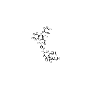 CC1CC(CCO[C@H]2CC[C@H](N(Cc3ccccc3)Cc3ccccc3)CC2)C[C@H](C)N1C(=O)O